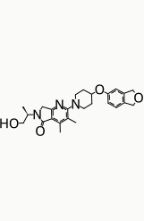 Cc1c(N2CCC(Oc3ccc4c(c3)COC4)CC2)nc2c(c1C)C(=O)N([C@H](C)CO)C2